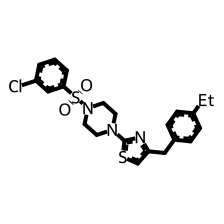 CCc1ccc(Cc2csc(N3CCN(S(=O)(=O)c4cccc(Cl)c4)CC3)n2)cc1